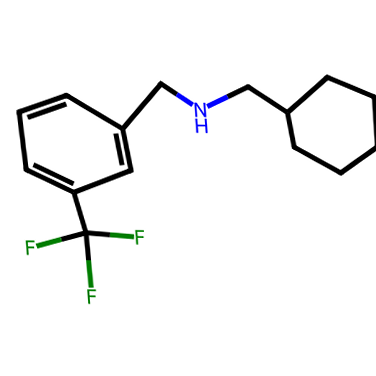 FC(F)(F)c1cccc(CNCC2CCCCC2)c1